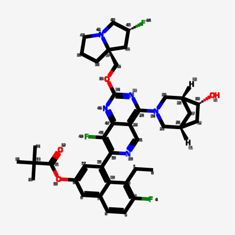 CCc1c(F)ccc2cc(OC(=O)C(C)(C)C)cc(-c3ncc4c(N5C[C@@H]6C[C@H](C5)[C@H](O)C6)nc(OC[C@@]56CCCN5C[C@H](F)C6)nc4c3F)c12